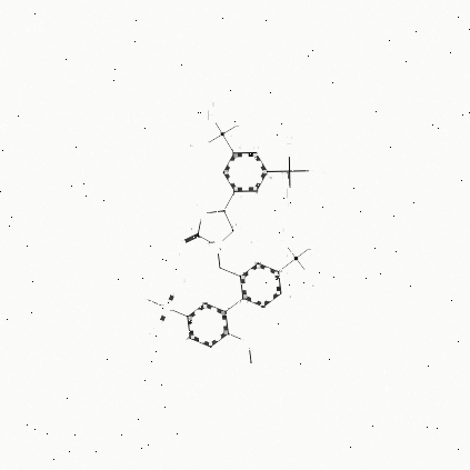 COc1ccc(S(C)(=O)=O)cc1-c1ccc(C(F)(F)F)cc1CN1C(=O)OC(c2cc(C(F)(F)F)cc(C(F)(F)F)c2)[C@@H]1C